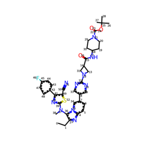 CCc1nc2ccc(-c3cnc(N4CC(C(=O)NC5CCN(C(=O)OC(C)(C)C)CC5)C4)nc3)cn2c1N(C)c1nc(-c2ccc(F)cc2)c(C#N)s1